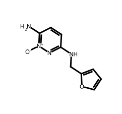 Nc1ccc(NCc2ccco2)n[n+]1[O-]